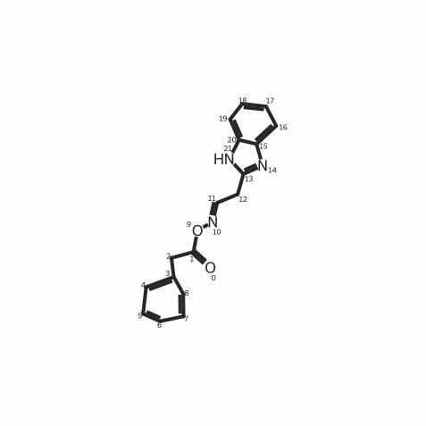 O=C(Cc1ccccc1)ON=CCc1nc2ccccc2[nH]1